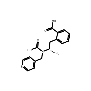 C[C@@H](Cc1ccccc1C(=O)O)N(Cc1ccncc1)C(=O)O